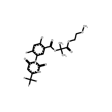 COCCOC(=O)C(C)(C)OC(=O)c1cc(-n2c(=O)cc(C(F)(F)F)[nH]c2=O)c(F)cc1Cl